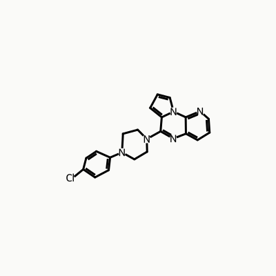 Clc1ccc(N2CCN(c3nc4cccnc4n4cccc34)CC2)cc1